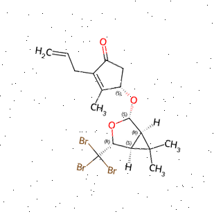 C=CCC1=C(C)[C@@H](O[C@H]2O[C@@H](C(Br)(Br)Br)[C@H]3[C@@H]2C3(C)C)CC1=O